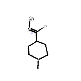 CN1CCC(/C(Cl)=N/O)CC1